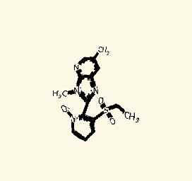 CCS(=O)(=O)C1CC=C[N+]([O-])=C1c1nc2cc(C)cnc2n1C